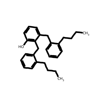 CCCCc1ccccc1Cc1cccc(O)c1Cc1ccccc1CCCC